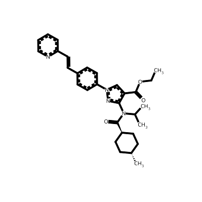 CCOC(=O)c1cn(-c2ccc(C=Cc3ccccn3)cc2)nc1N(C(=O)[C@H]1CC[C@H](C)CC1)C(C)C